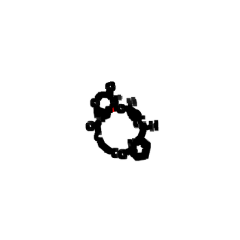 O=C1CCCCOc2cccc(n2)[C@H]2CC[C@H](CC2)OC2=[N+]3CCCN1[C@H]2COCC3=O